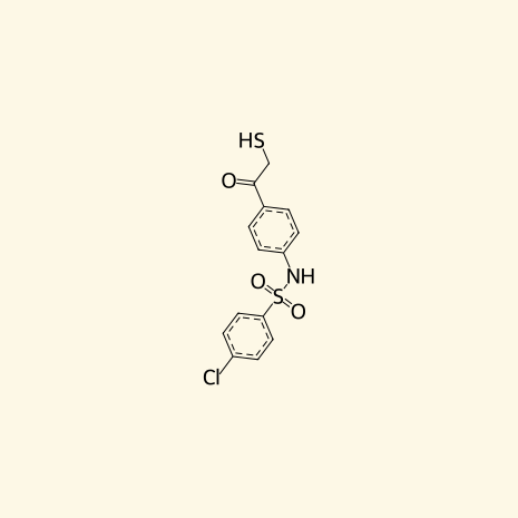 O=C(CS)c1ccc(NS(=O)(=O)c2ccc(Cl)cc2)cc1